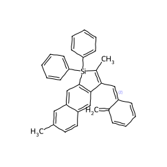 C=c1cccc/c1=C/C1=C(C)[Si](c2ccccc2)(c2ccccc2)c2cc3cc(C)ccc3cc21